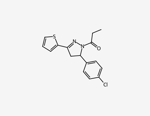 CCC(=O)N1N=C(c2cccs2)CC1c1ccc(Cl)cc1